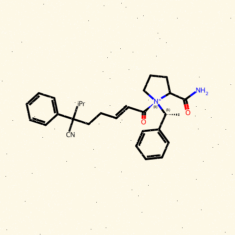 CC(C)C(C#N)(CCC=CC(=O)[N@@+]1([C@H](C)c2ccccc2)CCCC1C(N)=O)c1ccccc1